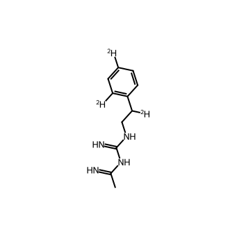 [2H]c1ccc(C([2H])CNC(=N)NC(C)=N)c([2H])c1